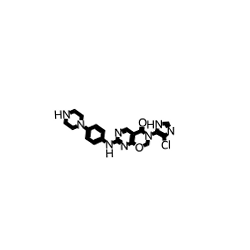 O=C1c2cnc(Nc3ccc(N4CCNCC4)cc3)nc2OCN1c1[nH]cnc1Cl